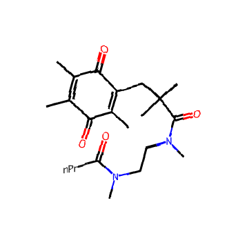 CCCC(=O)N(C)CCN(C)C(=O)C(C)(C)CC1=C(C)C(=O)C(C)=C(C)C1=O